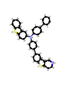 c1ccc(-c2ccc(N(c3ccc(-c4ccc5sc6ccncc6c5c4)cc3)c3ccc4sc5ccccc5c4c3)cc2)cc1